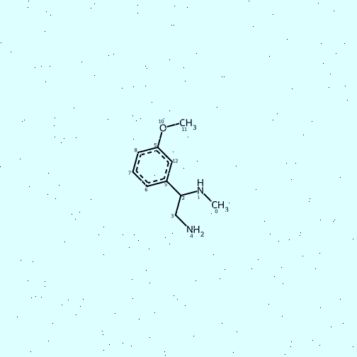 CNC(CN)c1cccc(OC)c1